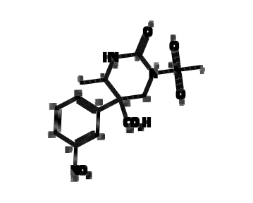 CC1NC(=O)N(S(C)(=O)=O)CC1(C(=O)O)c1cccc([N+](=O)[O-])c1